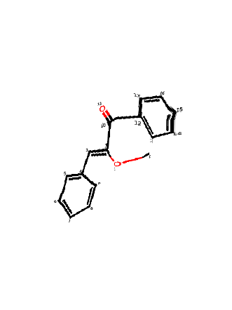 COC(=Cc1ccccc1)C(=O)c1ccccc1